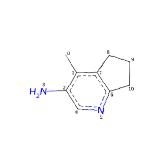 Cc1c(N)cnc2c1CCC2